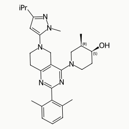 Cc1cccc(C)c1-c1nc2c(c(N3CC[C@H](O)[C@H](C)C3)n1)CN(c1cc(C(C)C)nn1C)CC2